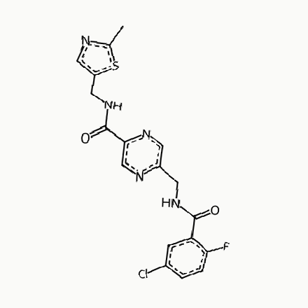 Cc1ncc(CNC(=O)c2cnc(CNC(=O)c3cc(Cl)ccc3F)cn2)s1